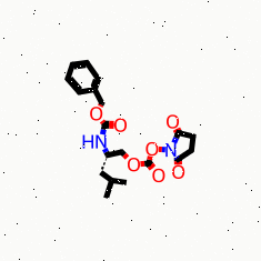 CC(C)C[C@@H](COC(=O)ON1C(=O)CCC1=O)NC(=O)OCc1ccccc1